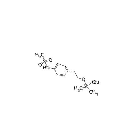 CC(C)(C)[Si](C)(C)OCCc1ccc(NS(C)(=O)=O)cc1